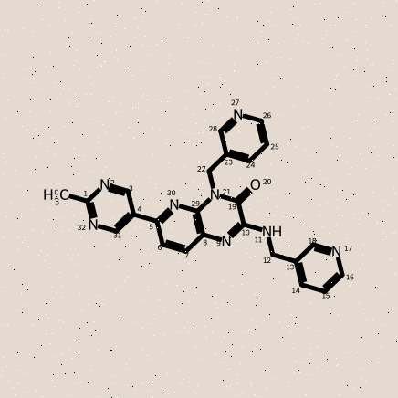 Cc1ncc(-c2ccc3nc(NCc4cccnc4)c(=O)n(Cc4cccnc4)c3n2)cn1